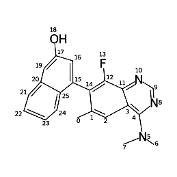 Cc1cc2c(N(C)C)ncnc2c(F)c1-c1cc(O)cc2ccccc12